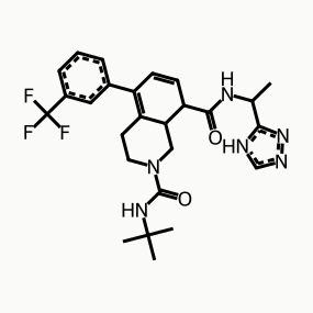 CC(NC(=O)C1C=CC(c2cccc(C(F)(F)F)c2)=C2CCN(C(=O)NC(C)(C)C)CC21)c1nnc[nH]1